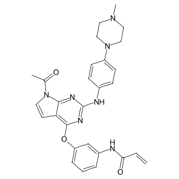 C=CC(=O)Nc1cccc(Oc2nc(Nc3ccc(N4CCN(C)CC4)cc3)nc3c2ccn3C(C)=O)c1